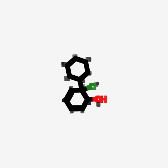 OC1C=CC=CC1(Cl)C1CCCCC1